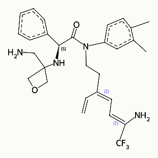 C=C/C(=C\C=C(/N)C(F)(F)F)CCN(C(=O)[C@@H](NC1(CN)COC1)c1ccccc1)c1ccc(C)c(C)c1